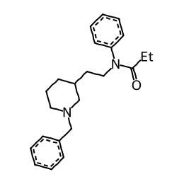 CCC(=O)N(CCC1CCCN(Cc2ccccc2)C1)c1ccccc1